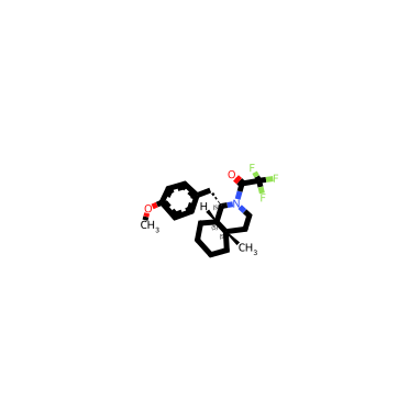 COc1ccc(C[C@H]2[C@H]3CCCC[C@@]3(C)CCN2C(=O)C(F)(F)F)cc1